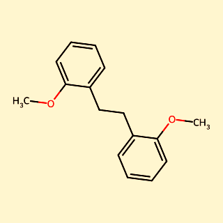 COc1ccccc1CCc1ccccc1OC